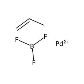 C=CC.FB(F)F.[Pd+2]